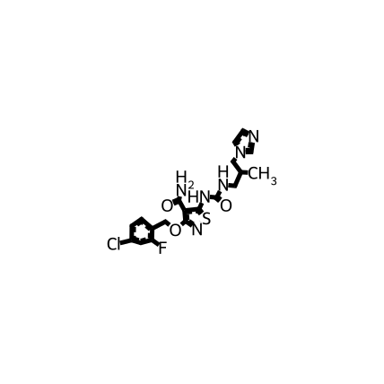 CC(CNC(=O)Nc1snc(OCc2ccc(Cl)cc2F)c1C(N)=O)Cn1ccnc1